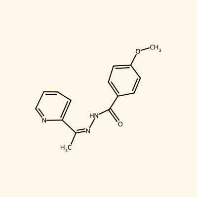 COc1ccc(C(=O)NN=C(C)c2ccccn2)cc1